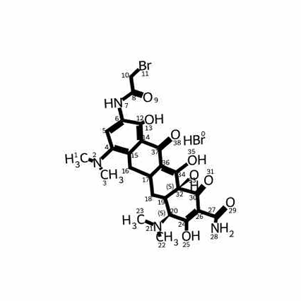 Br.CN(C)c1cc(NC(=O)CBr)c(O)c2c1CC1CC3[C@H](N(C)C)C(O)=C(C(N)=O)C(=O)[C@@]3(O)C(O)=C1C2=O